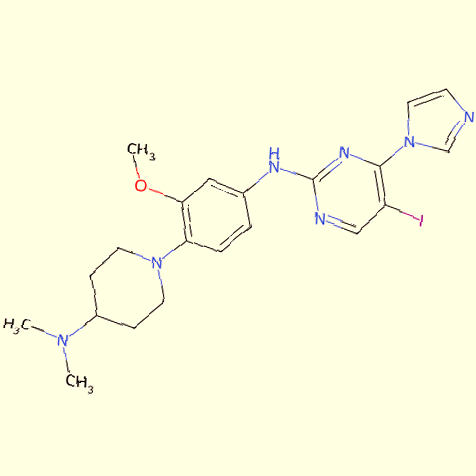 COc1cc(Nc2ncc(I)c(-n3ccnc3)n2)ccc1N1CCC(N(C)C)CC1